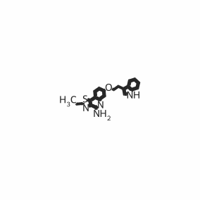 CCc1nc2c(N)nc3cc(OCCc4c[nH]c5ccccc45)ccc3c2s1